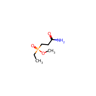 CCP(=O)(CCC(N)=O)OC